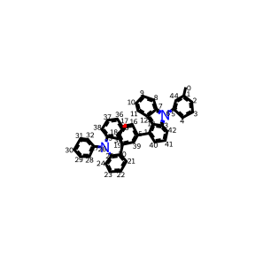 Cc1cccc(-n2c3ccccc3c3c(-c4cccc(-c5ccccc5N(c5ccccc5)c5ccccc5)c4)cccc32)c1